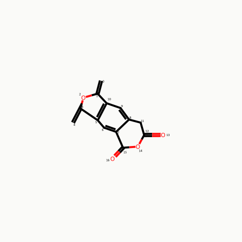 C=c1oc(=C)c2cc3c(cc12)CC(=O)OC3=O